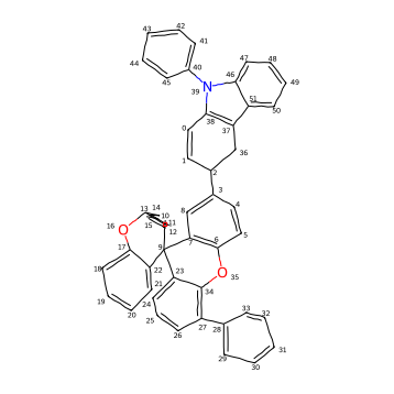 C1=CC(c2ccc3c(c2)C2(c4ccccc4Oc4ccccc42)c2cccc(-c4ccccc4)c2O3)Cc2c1n(-c1ccccc1)c1ccccc21